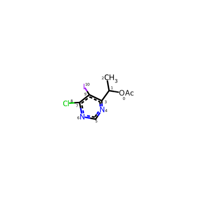 CC(=O)OC(C)c1ncnc(Cl)c1I